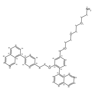 NCCOCCOCCOCc1ccc(-c2cccc3ccncc23)c(OCCc2ccc(-c3cccc4ccncc34)cc2)c1